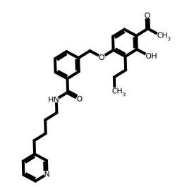 CCCc1c(OCc2cccc(C(=O)NCCCCc3cccnc3)c2)ccc(C(C)=O)c1O